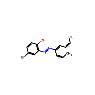 C\C=C/C=C(\C=C/C)/N=N/c1cc(CC)ccc1O